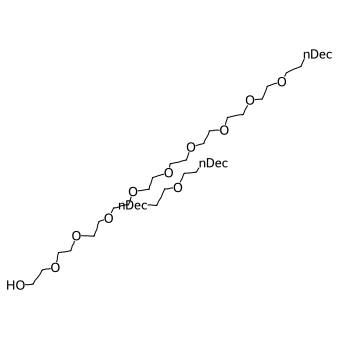 CCCCCCCCCCCCOCCCCCCCCCCCC.CCCCCCCCCCCCOCCOCCOCCOCCOCCOCCOCCOCCOCCO